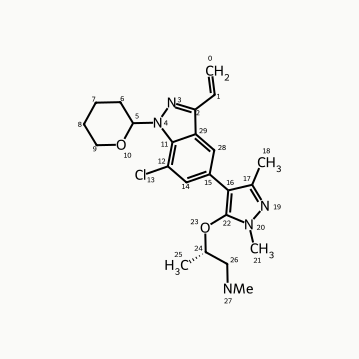 C=Cc1nn(C2CCCCO2)c2c(Cl)cc(-c3c(C)nn(C)c3O[C@@H](C)CNC)cc12